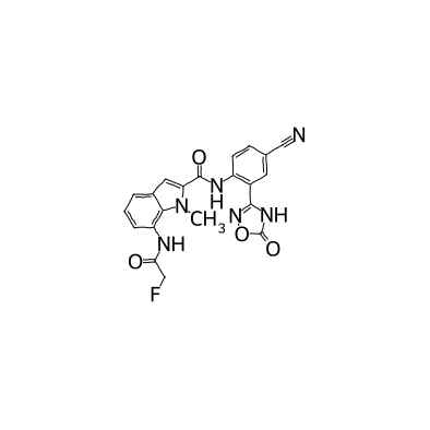 Cn1c(C(=O)Nc2ccc(C#N)cc2-c2noc(=O)[nH]2)cc2cccc(NC(=O)CF)c21